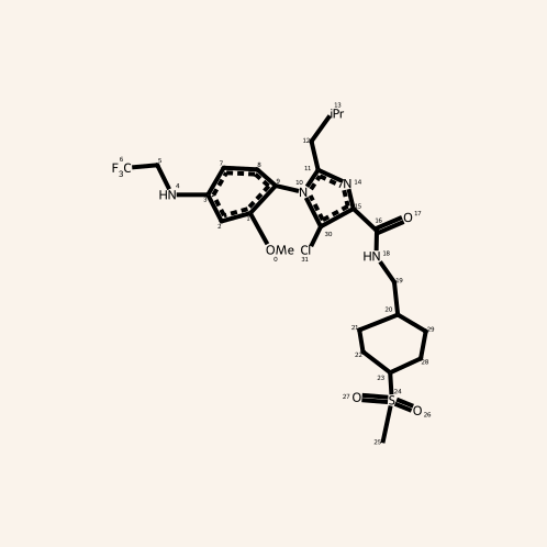 COc1cc(NCC(F)(F)F)ccc1-n1c(CC(C)C)nc(C(=O)NCC2CCC(S(C)(=O)=O)CC2)c1Cl